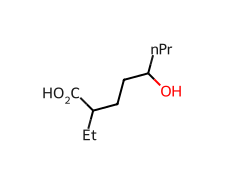 CCCC(O)CCC(CC)C(=O)O